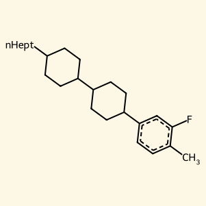 CCCCCCCC1CCC(C2CCC(c3ccc(C)c(F)c3)CC2)CC1